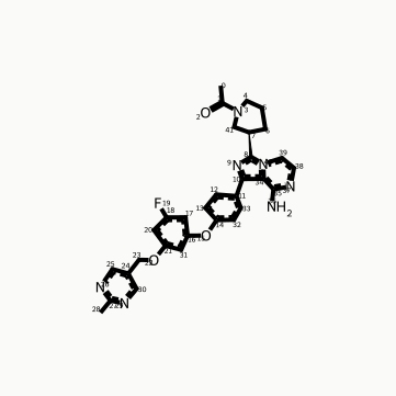 CC(=O)N1CCC[C@@H](c2nc(-c3ccc(Oc4cc(F)cc(OCc5cnc(C)nc5)c4)cc3)c3c(N)nccn23)C1